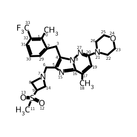 Cc1c(Cc2c(CN3CC(S(C)(=O)=O)C3)nc3c(C)cc(N4CCOCC4)nn23)cccc1C(F)(F)F